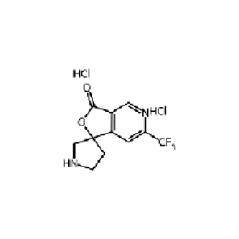 Cl.Cl.O=C1OC2(CCNC2)c2cc(C(F)(F)F)ncc21